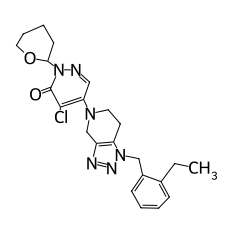 CCc1ccccc1Cn1nnc2c1CCN(c1cnn(C3CCCCO3)c(=O)c1Cl)C2